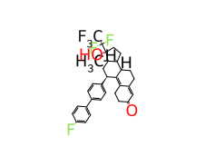 C[C@]12C[C@H](c3ccc(-c4ccc(F)cc4)cc3)C3=C4CCC(=O)C=C4CC[C@H]3[C@@H]1CC[C@@]2(O)C(F)(F)C(F)(F)F